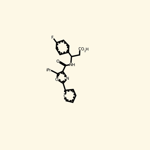 CC(C)c1oc(-c2ccccc2)nc1C(=O)NC(CC(=O)O)c1ccc(F)cc1